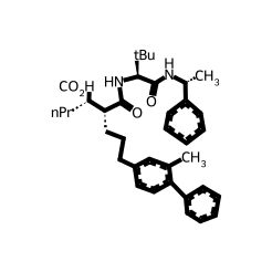 CCC[C@H](C(=O)O)[C@@H](CCCc1ccc(-c2ccccc2)c(C)c1)C(=O)N[C@H](C(=O)N[C@H](C)c1ccccc1)C(C)(C)C